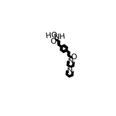 O=C(C=Cc1ccc(C=CC(=O)N2CCC(N3CCCCC3)CC2)cc1)NO